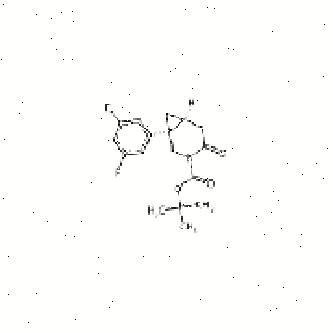 CC(C)(C)OC(=O)N1C[C@@]2(c3cc(F)cc(F)c3)C[C@H]2CC1=O